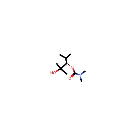 CC(C)[C@H](OC(=O)N(C)C)C(C)(C)O